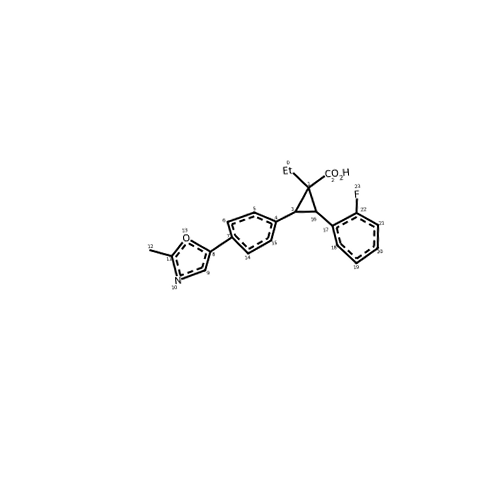 CCC1(C(=O)O)C(c2ccc(-c3cnc(C)o3)cc2)C1c1ccccc1F